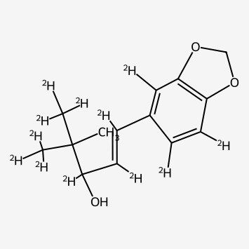 [2H]/C(=C(/[2H])C([2H])(O)C(C)(C([2H])([2H])[2H])C([2H])([2H])[2H])c1c([2H])c([2H])c2c(c1[2H])OCO2